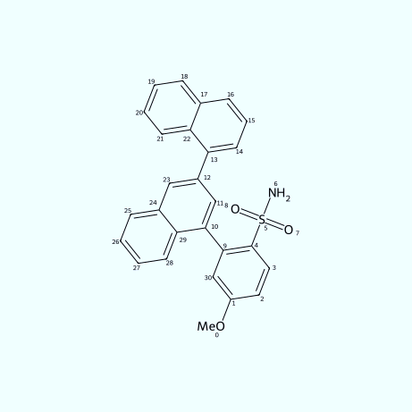 COc1ccc(S(N)(=O)=O)c(-c2cc(-c3cccc4ccccc34)cc3ccccc23)c1